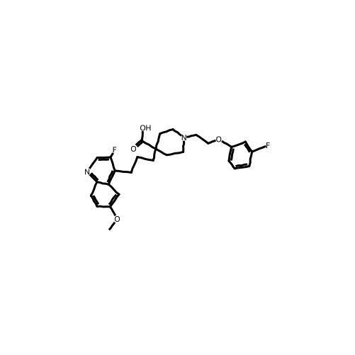 COc1ccc2ncc(F)c(CCCC3(C(=O)O)CCN(CCOc4cccc(F)c4)CC3)c2c1